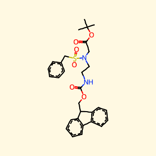 CC(C)(C)OC(=O)CN(CCNC(=O)OCC1c2ccccc2-c2ccccc21)S(=O)(=O)Cc1ccccc1